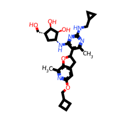 Cc1nc(OCC2CCC2)cc2c1OC(c1c(C)nc(NCC3CC3)nc1N[C@@H]1C[C@H](CO)[C@@H](O)[C@H]1O)C2